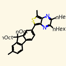 CCCCCCCCC1(CCCCCCCC)c2cc(C)ccc2-c2ccc(-c3sc(C)c4nc(CCCCCC)c(CCCCCC)nc34)cc21